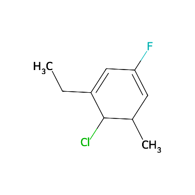 CCC1=CC(F)=CC(C)C1Cl